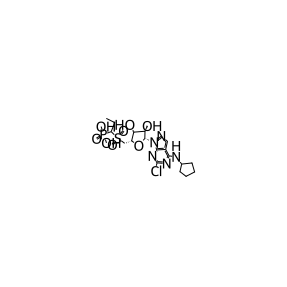 CCC(P(=O)(O)O)S(=O)(=O)C[C@H]1O[C@@H](n2ncc3c(NC4CCCC4)nc(Cl)nc32)[C@H](O)[C@@H]1O